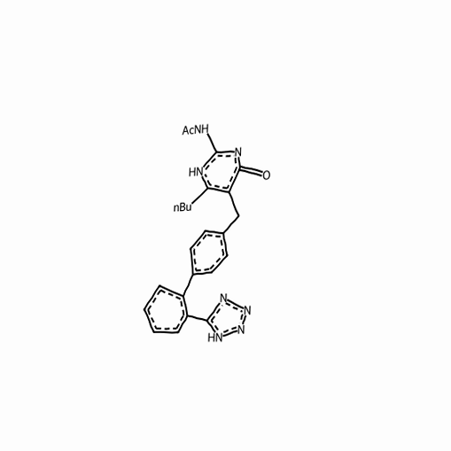 CCCCc1[nH]c(NC(C)=O)nc(=O)c1Cc1ccc(-c2ccccc2-c2nnn[nH]2)cc1